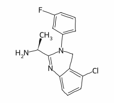 C[C@H](N)C1=Nc2cccc(Cl)c2CN1c1cccc(F)c1